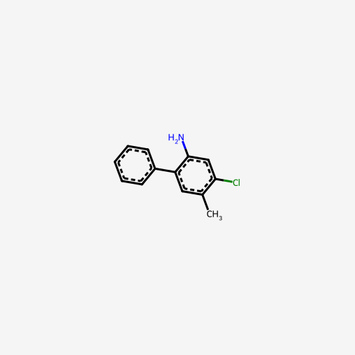 Cc1cc(-c2ccccc2)c(N)cc1Cl